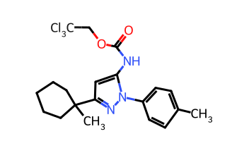 Cc1ccc(-n2nc(C3(C)CCCCC3)cc2NC(=O)OCC(Cl)(Cl)Cl)cc1